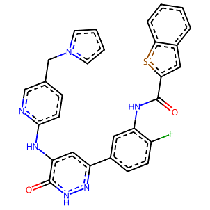 O=C(Nc1cc(-c2cc(Nc3ccc(Cn4cccc4)cn3)c(=O)[nH]n2)ccc1F)c1cc2ccccc2s1